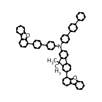 CC1(C)c2cc(-c3cccc4c3oc3ccccc34)ccc2-c2ccc(N(c3ccc(-c4ccc(-c5ccccc5)cc4)cc3)c3ccc(-c4ccc(-c5cccc6c5oc5ccccc56)cc4)cc3)cc21